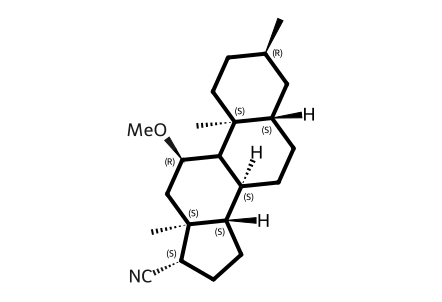 CO[C@@H]1C[C@]2(C)[C@@H](C#N)CC[C@H]2[C@@H]2CC[C@H]3C[C@H](C)CC[C@]3(C)C21